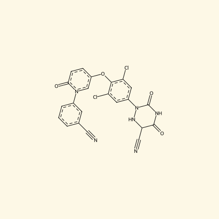 N#Cc1cccc(-n2cc(Oc3c(Cl)cc(N4NC(C#N)C(=O)NC4=O)cc3Cl)ccc2=O)c1